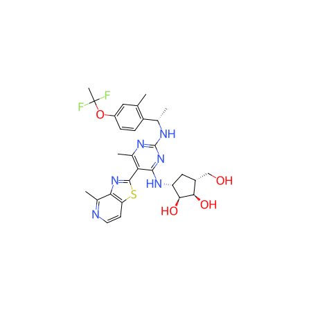 Cc1cc(OC(C)(F)F)ccc1[C@H](C)Nc1nc(C)c(-c2nc3c(C)nccc3s2)c(N[C@@H]2C[C@H](CO)[C@@H](O)[C@H]2O)n1